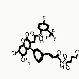 CCCCS(=O)(=O)NC(=O)/C=C/c1cccc(-c2c(CC(=O)Nc3ccc(F)cc3C(F)(F)F)c(=O)oc3cc(Cl)c(C)cc23)c1